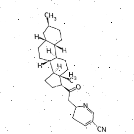 C[C@H]1CC[C@H]2[C@H](CC[C@@H]3[C@@H]2CC[C@]2(C)[C@@H](C(=O)CC4CC=C(C#N)C=N4)CC[C@@H]32)C1